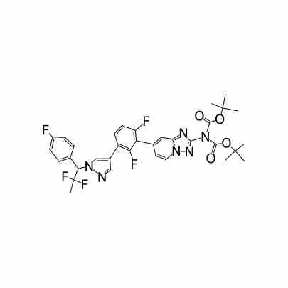 CC(C)(C)OC(=O)N(C(=O)OC(C)(C)C)c1nc2cc(-c3c(F)ccc(-c4cnn(C(c5ccc(F)cc5)C(C)(F)F)c4)c3F)ccn2n1